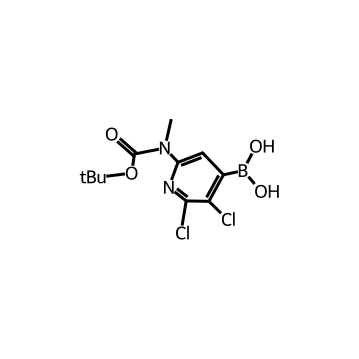 CN(C(=O)OC(C)(C)C)c1cc(B(O)O)c(Cl)c(Cl)n1